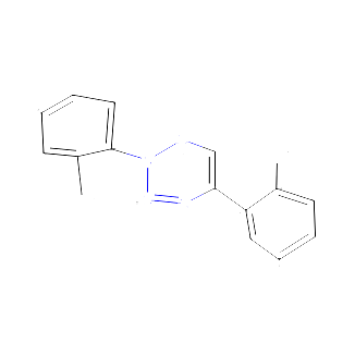 CC(=O)Oc1ccccc1C1=CNN(c2ccccc2OC(C)=O)N=N1